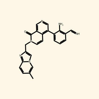 Cc1ccc2nc(Cn3ccc4c(-c5cccc(C=N)c5N)cncc4c3=O)cn2c1